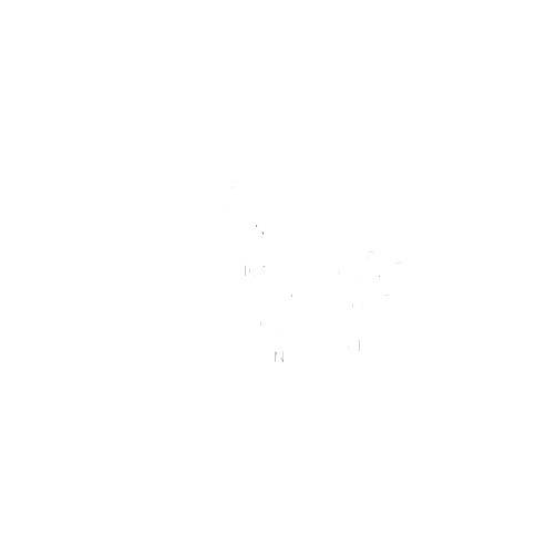 O=C(c1cc(Cl)c(OC(=O)C(F)(F)F)cc1OC[C@@H](O)CN1CCC2(CC1)Cc1cc(F)ccc1O2)N1CCCC1